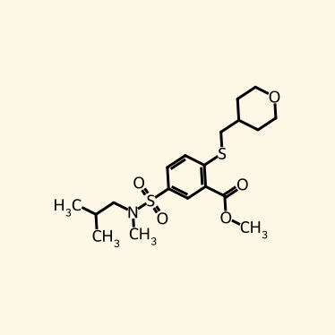 COC(=O)c1cc(S(=O)(=O)N(C)CC(C)C)ccc1SCC1CCOCC1